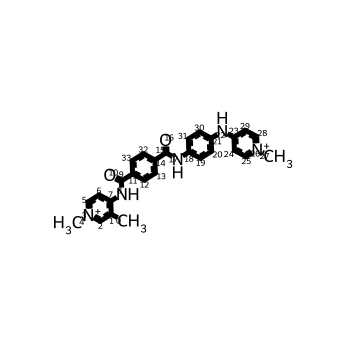 Cc1c[n+](C)ccc1NC(=O)c1ccc(C(=O)Nc2ccc(Nc3cc[n+](C)cc3)cc2)cc1